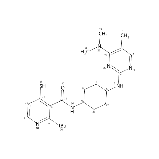 Cc1cnc(NC2CCC(NC(=O)c3c(S)ccnc3C(C)(C)C)CC2)nc1N(C)C